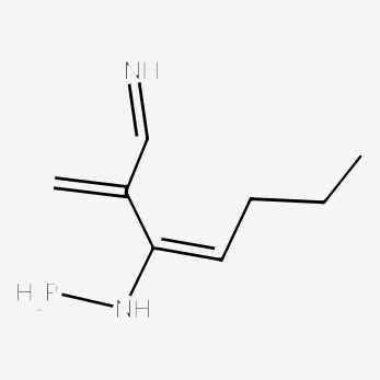 C=C(C=N)/C(=C\CCC)NP